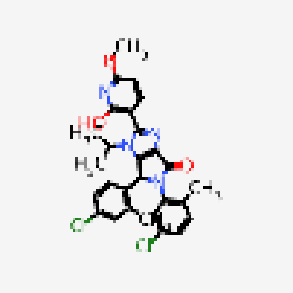 COc1ccc(-c2nc3c(n2C(C)C)C(c2ccc(Cl)cc2C)N(c2cc(Cl)ccc2C)C3=O)c(O)n1